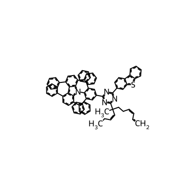 C=C/C=C\CCC(C)(/C=C\CC)c1nc(-c2cc(-c3ccccc3)c(-n3c4c(-c5ccccc5)ccc(-c5ccccc5)c4c4c(-c5ccccc5)ccc(-c5ccccc5)c43)c(-c3ccccc3)c2)nc(-c2ccc3c(c2)sc2ccccc23)n1